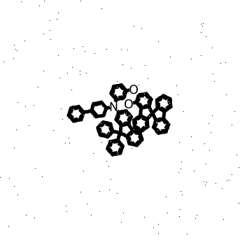 C1=CC(N(c2ccc3c(c2)C(c2ccccc2)(c2ccccc2)c2ccccc2-3)c2cccc3c2Oc2c(ccc4c2-c2ccccc2C42c4ccccc4-c4ccccc42)O3)CC=C1c1ccccc1